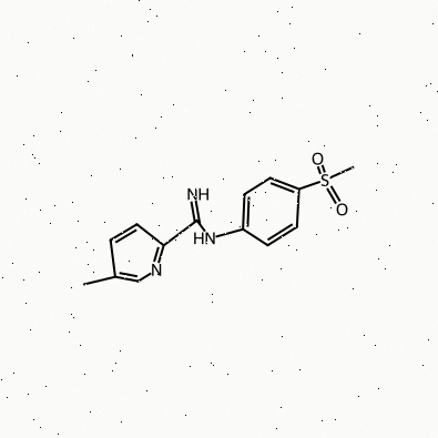 Cc1ccc(C(=N)Nc2ccc(S(C)(=O)=O)cc2)nc1